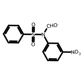 O=[C]N(c1cccc([N+](=O)[O-])c1)S(=O)(=O)c1ccccc1